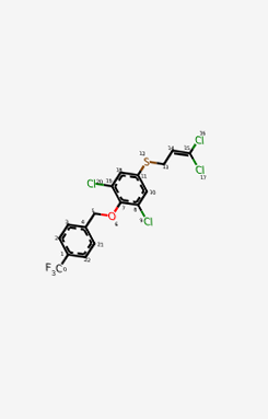 FC(F)(F)c1ccc(COc2c(Cl)cc(SCC=C(Cl)Cl)cc2Cl)cc1